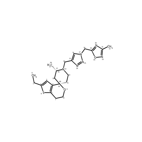 CCc1cc2c(s1)CCO[C@@]21CCN(Cc2cn(Cc3nc(C)no3)nn2)[C@@H](C)C1